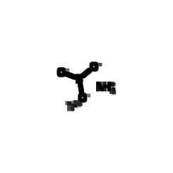 [NH4+].[O-]B([O-])[O-].[Ti+2]